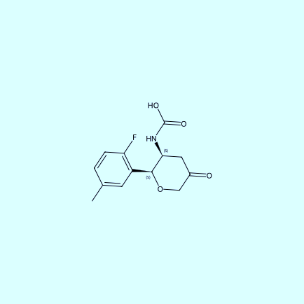 Cc1ccc(F)c([C@@H]2OCC(=O)C[C@@H]2NC(=O)O)c1